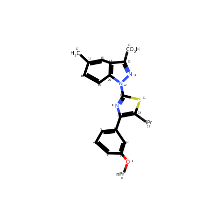 CCCOc1cccc(-c2nc(-n3nc(C(=O)O)c4cc(C)ccc43)sc2C(C)C)c1